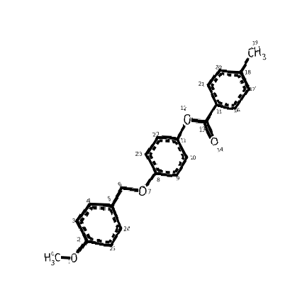 COc1ccc(COc2ccc(OC(=O)c3ccc(C)cc3)cc2)cc1